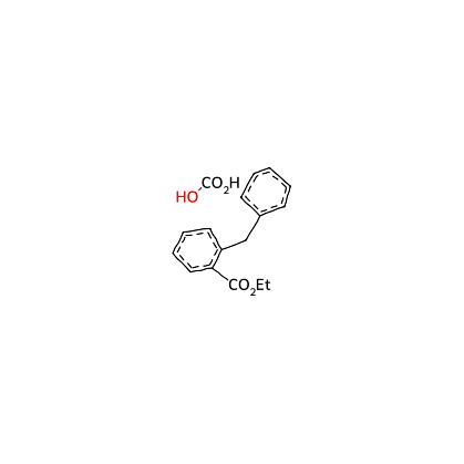 CCOC(=O)c1ccccc1Cc1ccccc1.O=C(O)O